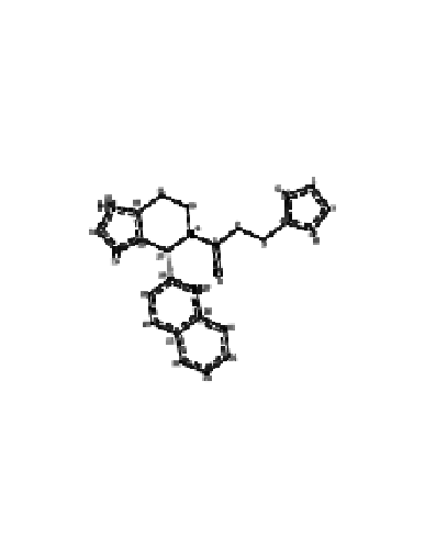 O=C(CCc1nccs1)N1CCc2[nH]cnc2[C@H]1c1ccc2ccccc2n1